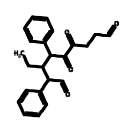 CCC(C(C=O)c1ccccc1)C(C(=O)C(=O)CCC=O)c1ccccc1